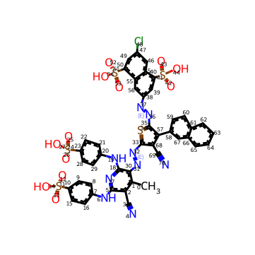 Cc1c(C#N)c(Nc2ccc(S(=O)(=O)O)cc2)nc(Nc2ccc(S(=O)(=O)O)cc2)c1/N=N/c1sc(/N=N/c2cc(S(=O)(=O)O)c3cc(Cl)cc(S(=O)(=O)O)c3c2)c(-c2ccc3ccccc3c2)c1C#N